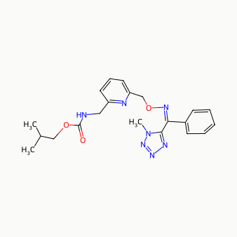 CC(C)COC(=O)NCc1cccc(CON=C(c2ccccc2)c2nnnn2C)n1